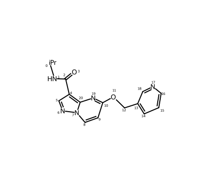 CC(C)NC(=O)c1cnn2ccc(OCc3cccnc3)nc12